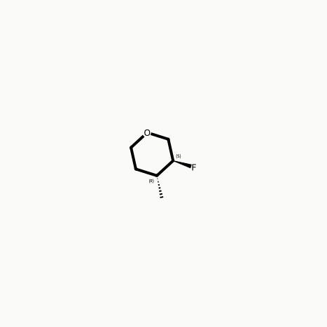 C[C@@H]1CCOC[C@H]1F